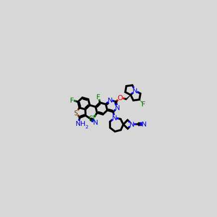 N#Cc1c(N)sc2c(F)ccc(-c3c(Cl)cc4c(N5CCCCC6(CN(C#N)C6)C5)nc(OC[C@@]56CCCN5C[C@H](F)C6)nc4c3F)c12